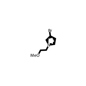 COCCn1ccc(Br)c1